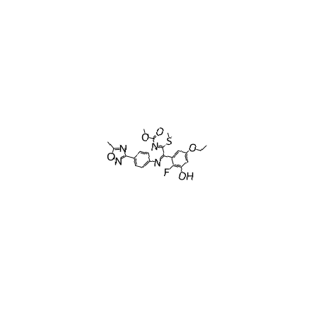 CCOc1cc(O)c(F)c(C(=N/c2ccc(-c3noc(C)n3)cc2)/C(=N/C(=O)OC)SC)c1